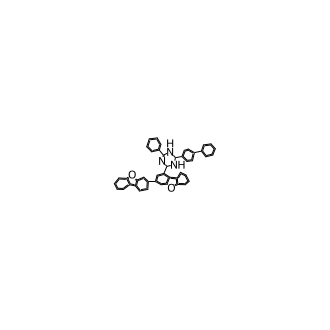 c1ccc(C2=NC(c3cc(-c4ccc5c(c4)oc4ccccc45)cc4oc5ccccc5c34)NC(c3ccc(-c4ccccc4)cc3)N2)cc1